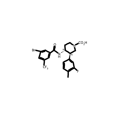 Cc1ccc([C@@H]2CN(C(=O)O)CC[C@H]2NC(=O)c2cc(Br)cc(C(F)(F)F)c2)cc1F